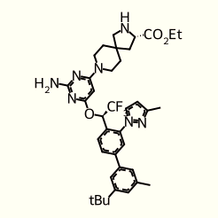 CCOC(=O)[C@@H]1CC2(CCN(c3cc(O[C@H](c4ccc(-c5cc(C)cc(C(C)(C)C)c5)cc4-n4ccc(C)n4)C(F)(F)F)nc(N)n3)CC2)CN1